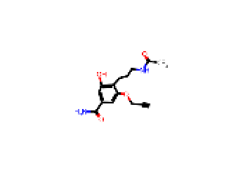 C#CCOc1cc(C(N)=O)cc(O)c1CCCNC(=O)C(F)(F)F